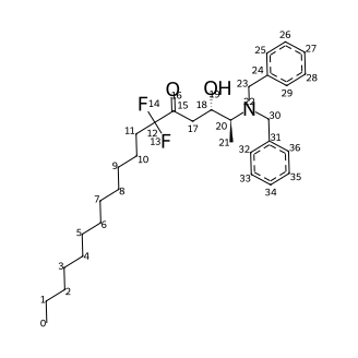 CCCCCCCCCCCCC(F)(F)C(=O)C[C@H](O)[C@H](C)N(Cc1ccccc1)Cc1ccccc1